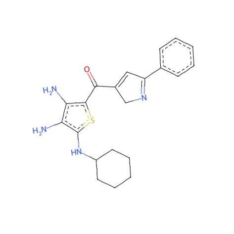 Nc1c(NC2CCCCC2)sc(C(=O)C2=CC(c3ccccc3)=NC2)c1N